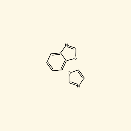 [c]1nc2ccccc2s1.[c]1ncco1